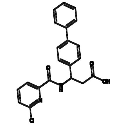 O=C(O)CC(NC(=O)c1cccc(Cl)n1)c1ccc(-c2ccccc2)cc1